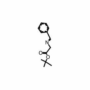 CC(C)(C)OC(=O)C/N=C/c1ccccc1